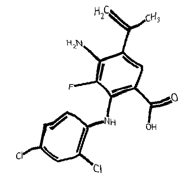 C=C(C)c1cc(C(=O)O)c(Nc2ccc(Cl)cc2Cl)c(F)c1N